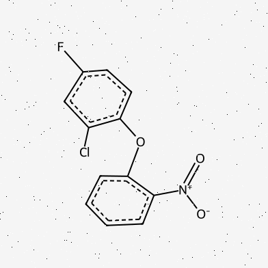 O=[N+]([O-])c1ccccc1Oc1ccc(F)cc1Cl